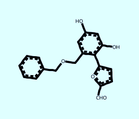 O=Cc1ccc(-c2c(O)cc(O)cc2COCc2ccccc2)o1